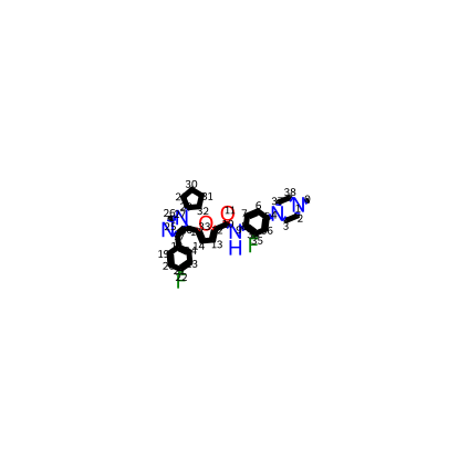 CN1CCN(c2ccc(NC(=O)c3ccc(-c4c(-c5ccc(F)cc5)ncn4C4CCCC4)o3)c(F)c2)CC1